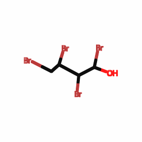 OC(Br)C(Br)C(Br)CBr